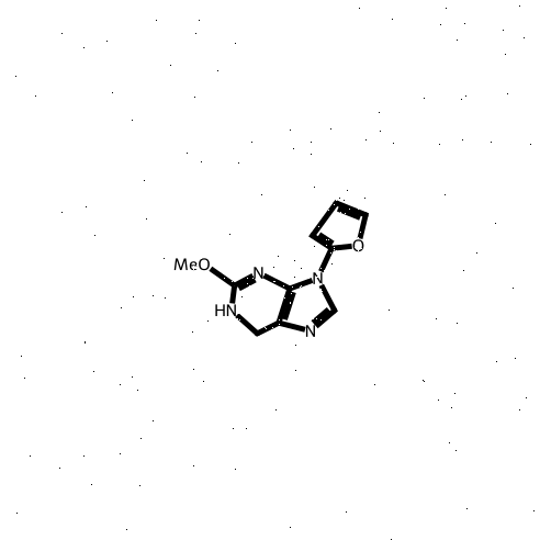 COC1=Nc2c(ncn2-c2ccco2)CN1